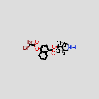 CC(C)(OC(=O)c1ccc(OC(=O)C(Br)Br)c2ccccc12)C1CCNCC1